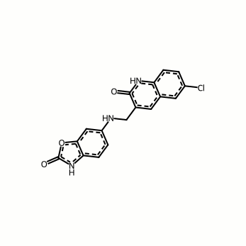 O=c1[nH]c2ccc(NCc3cc4cc(Cl)ccc4[nH]c3=O)cc2o1